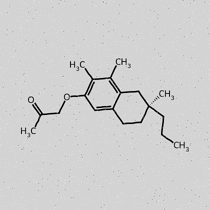 CCC[C@@]1(C)CCc2cc(OCC(C)=O)c(C)c(C)c2C1